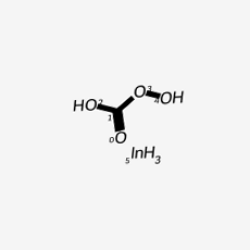 O=C(O)OO.[InH3]